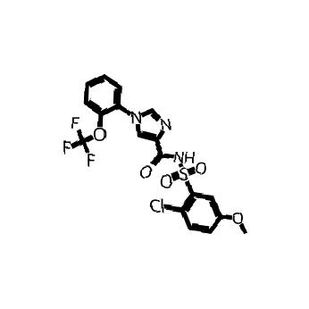 COc1ccc(Cl)c(S(=O)(=O)NC(=O)c2cn(-c3ccccc3OC(F)(F)F)cn2)c1